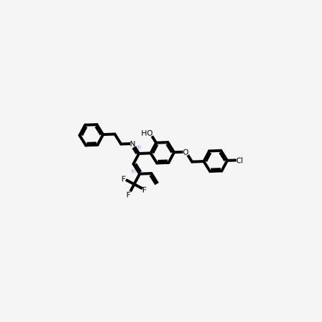 C=C/C(=C\C(=N/CCc1ccccc1)c1ccc(OCc2ccc(Cl)cc2)cc1O)C(F)(F)F